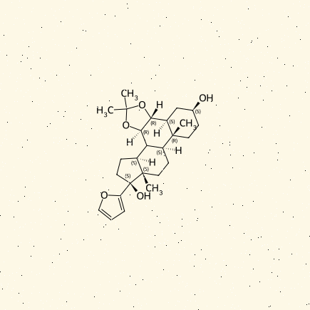 CC1(C)O[C@H]2[C@H](O1)C1[C@H](CC[C@@]3(C)[C@H]1CC[C@@]3(O)c1ccco1)[C@@]1(C)CC[C@H](O)C[C@H]21